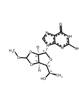 COC1O[C@H]2[C@@H](O1)[C@H](n1cnc3c(=O)[nH]c(N)nc31)O[C@@H]2[C@@H](C)O